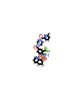 Cc1cccc(C(=O)N2CCN(C(=O)c3ccc(NS(=O)(=O)c4cccc5cccnc45)c(C(F)(F)F)c3)CC2)n1